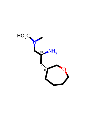 CN(C[C@@H](N)C[C@H]1CCCCOC1)C(=O)O